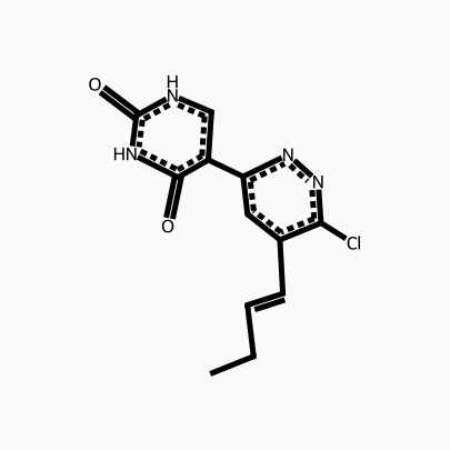 CCC=Cc1cc(-c2c[nH]c(=O)[nH]c2=O)nnc1Cl